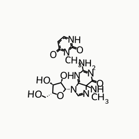 CNC12N=CN([C@@H]3O[C@H](CO)[C@@H](O)[C@H]3O)C1=NC(N)=NC2=O.Cn1c(=O)cc[nH]c1=O